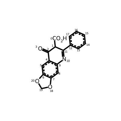 O=C(O)C1C(=O)c2cc3c(cc2N=C1c1ccccc1)OCO3